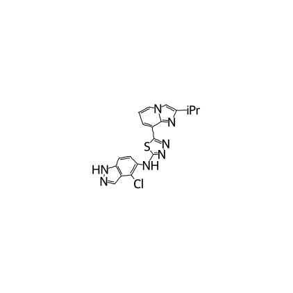 CC(C)c1cn2cccc(-c3nnc(Nc4ccc5[nH]ncc5c4Cl)s3)c2n1